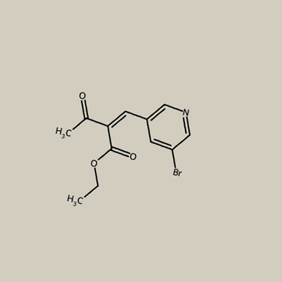 CCOC(=O)/C(=C\c1cncc(Br)c1)C(C)=O